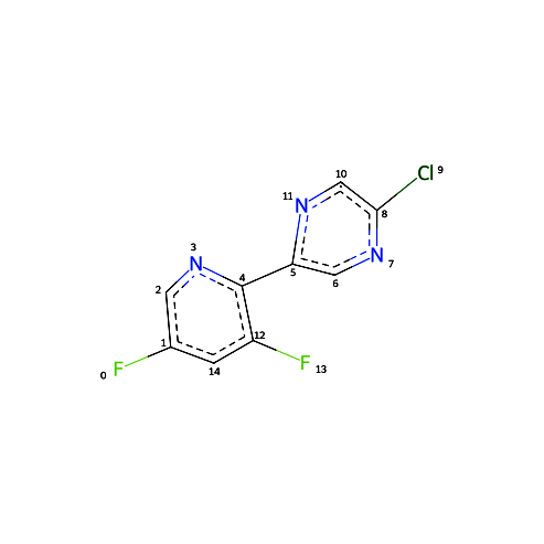 Fc1cnc(-c2cnc(Cl)[c]n2)c(F)c1